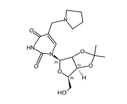 CC1(C)OC2[C@@H](O1)[C@@H](CO)O[C@H]2n1cc(CN2CCCC2)c(=O)[nH]c1=O